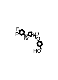 CC(=O)N(c1ccc(F)c(F)c1)C1CCN(C(=O)COc2ccc(CO)cc2)C1